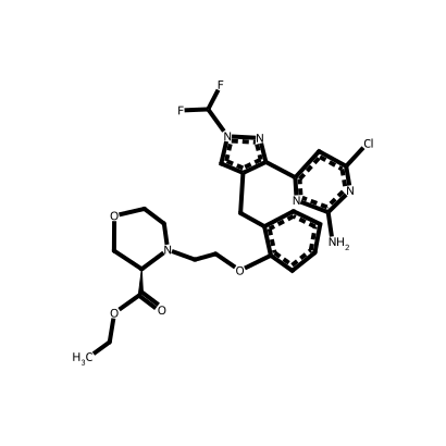 CCOC(=O)[C@H]1COCCN1CCOc1ccccc1Cc1cn(C(F)F)nc1-c1cc(Cl)nc(N)n1